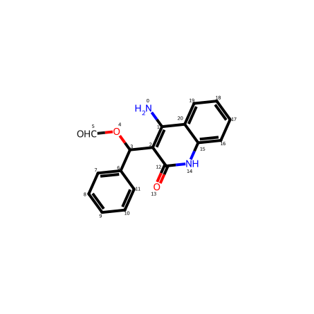 Nc1c(C(OC=O)c2ccccc2)c(=O)[nH]c2ccccc12